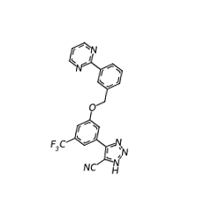 N#Cc1[nH]nnc1-c1cc(OCc2cccc(-c3ncccn3)c2)cc(C(F)(F)F)c1